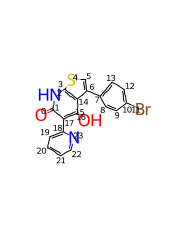 O=c1[nH]c2scc(-c3ccc(Br)cc3)c2c(O)c1-c1ccccn1